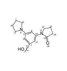 O=C(O)c1cc(N2CCCC2)cc(N2CCCC2=O)c1